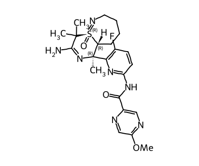 COc1cnc(C(=O)Nc2ccc(F)c([C@@]3(C)N=C(N)C(C)(C)[S@@]4(=O)=NCCCC[C@H]34)n2)cn1